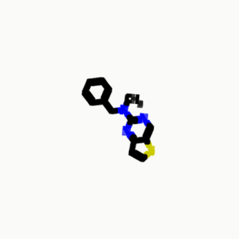 CN(Cc1ccccc1)c1ncc2sccc2n1